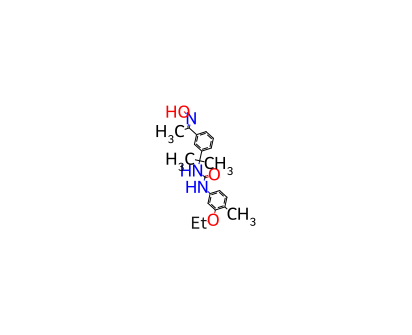 CCOc1cc(NC(=O)NC(C)(C)c2cccc(/C(C)=N/O)c2)ccc1C